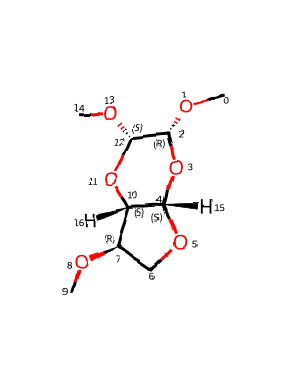 CO[C@@H]1O[C@@H]2OC[C@@H](OC)[C@@H]2O[C@@H]1OC